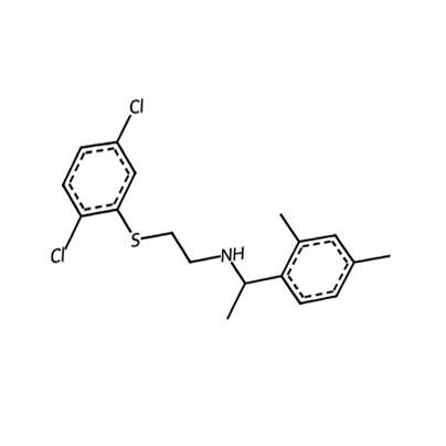 Cc1ccc(C(C)NCCSc2cc(Cl)ccc2Cl)c(C)c1